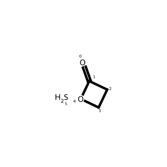 O=C1CCO1.S